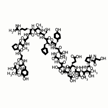 C[C@H](NC(=O)[C@H](CS)NC(=O)[C@H](Cc1ccccc1)NC(=O)[C@H](Cc1ccc(O)cc1)NC(=O)[C@@H](NC(=O)[C@H](C)NC(=O)[C@@H](NC(=O)[C@H](CC(=O)O)NC(=O)[C@H](CCC(=O)O)NC(=O)[C@@H](NC(=O)[C@@H](NC(=O)[C@@H]1CCCN1C(=O)[C@@H](N)CO)[C@@H](C)O)[C@@H](C)O)[C@@H](C)O)[C@@H](C)O)C(=O)N[C@@H](CCCNC(=N)N)C(=O)NCC(=O)N[C@@H](C)C(=O)N1CCC[C@H]1C(=O)NCC(=O)N[C@@H](Cc1ccc(O)cc1)C(=O)N[C@H](C(=O)O)[C@@H](C)O